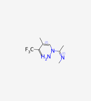 C=C(/C(C)=C\N(N)/C(C)=N\C)C(F)(F)F